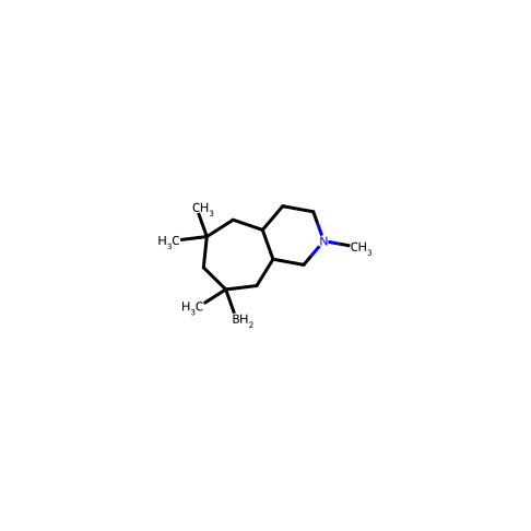 BC1(C)CC2CN(C)CCC2CC(C)(C)C1